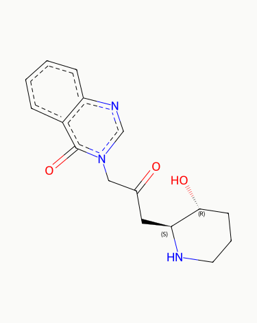 O=C(C[C@@H]1NCCC[C@H]1O)Cn1cnc2ccccc2c1=O